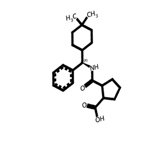 CC1(C)CCC([C@@H](NC(=O)C2CCCC2C(=O)O)c2ccccc2)CC1